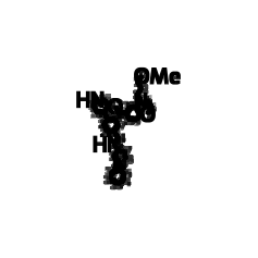 COCCCN1CCOc2ccc(COC3CNCCC3c3ccc(CN[C@H]4CCN(c5ccccc5)C4)cc3)cc21